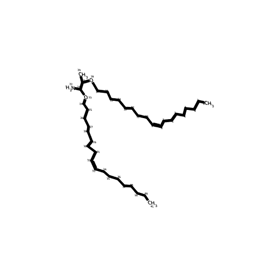 CCCCCCCC/C=C\CCCCCCCCOC(C)C(N)OCCCCCCCC/C=C\CCCCCCCC